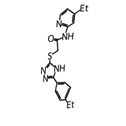 CCc1ccc(-c2nnc(SCC(=O)Nc3cc(CC)ccn3)[nH]2)cc1